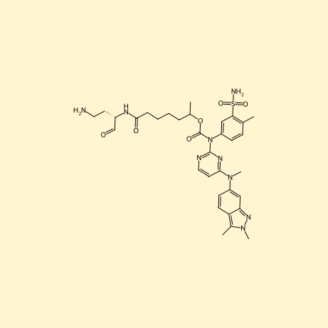 Cc1ccc(N(C(=O)OC(C)CCCCC(=O)N[C@H](C=O)CCN)c2nccc(N(C)c3ccc4c(C)n(C)nc4c3)n2)cc1S(N)(=O)=O